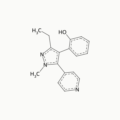 CCc1nn(C)c(-c2ccncc2)c1-c1ccccc1O